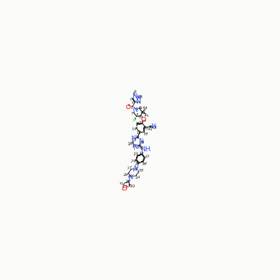 Cn1cc(C(=O)N2C[C@@H](F)[C@@H](OC3=CCC(c4ncnc(Nc5ccc(N6CCN(C7COC7)CC6)cc5)n4)C=C3C#N)C(C)(C)C2)nn1